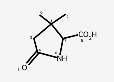 CC1(C)CC(=O)NC1C(=O)O